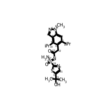 CC(C)c1cc2c(cnn2C)c(C(C)C)c1CC(=O)N=S(N)(=O)c1ncc(C(C)(C)O)s1